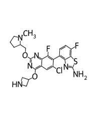 CN1CCCC1COc1nc(OC2CNC2)c2cc(Cl)c(-c3ccc(F)c4sc(N)nc34)c(F)c2n1